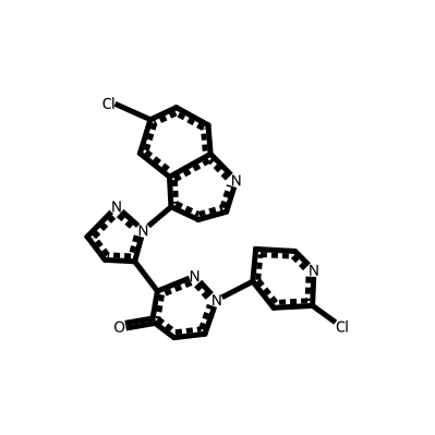 O=c1ccn(-c2ccnc(Cl)c2)nc1-c1ccnn1-c1ccnc2ccc(Cl)cc12